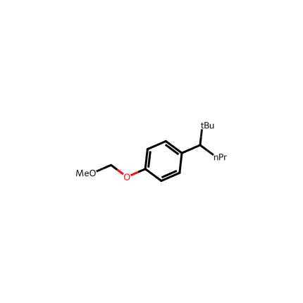 CCCC(c1ccc(OCOC)cc1)C(C)(C)C